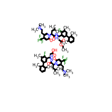 CCOC(=O)C[C@H](NC(=O)C(CC(C)C)n1cc(CCN(C)C)c(C(F)(F)F)cc1=O)c1cc(-c2c(C)cccc2C)cc(C)c1F.Cc1cc(-c2c(C)cccc2C)cc([C@H](CC(=O)O)NC(=O)C(CC(C)C)n2cc(CCN(C)C)c(C(F)(F)F)cc2=O)c1F